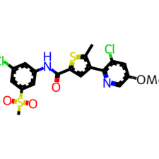 COc1cnc(-c2cc(C(=O)Nc3cc(Cl)cc(S(C)(=O)=O)c3)sc2C)c(Cl)c1